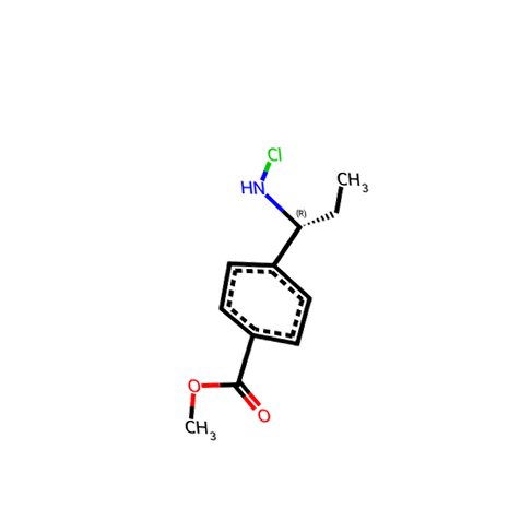 CC[C@@H](NCl)c1ccc(C(=O)OC)cc1